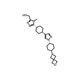 Cn1c(CO)nnc1[C@H]1CC[C@H](c2cnn([C@H]3CC[C@H](N4CC5(COC5)C4)CC3)c2)CC1